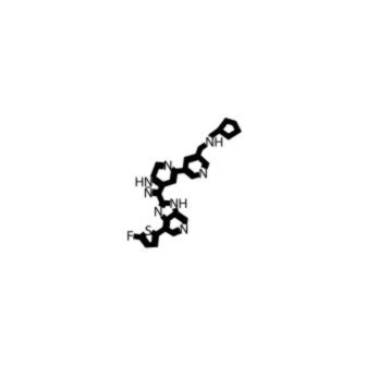 Fc1ccc(-c2cncc3[nH]c(-c4n[nH]c5cnc(-c6cncc(CNCC7CCCC7)c6)cc45)nc23)s1